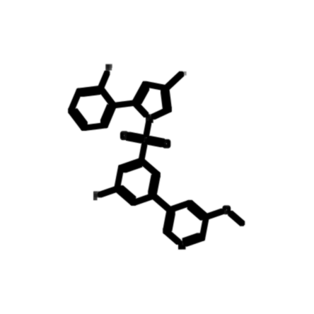 [CH2]c1cc(-c2ccccc2F)n(S(=O)(=O)c2cc(F)cc(-c3cncc(OC)c3)c2)c1